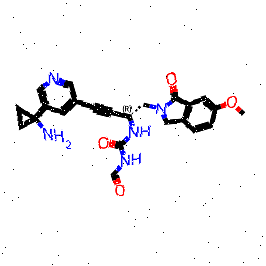 COc1ccc2c(c1)C(=O)N(C[C@@H](C#Cc1cncc(C3(N)CC3)c1)NC(=O)NC=O)C2